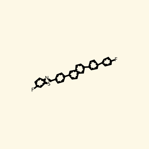 Fc1ccc(-c2ccc(-c3ccc4cc(-c5ccc(-c6nc7ccc(F)cc7s6)cc5)ccc4c3)cc2)cc1